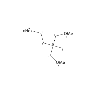 CCCCCCCCC(C)(COC)COC